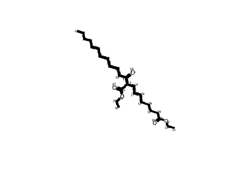 CCCCCCCCCCCC(=O)C(CCCCCCCC(=O)OCC)C(=O)OCC